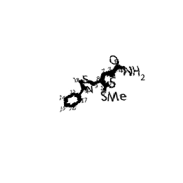 CSc1sc(C(N)=O)cc1-c1nc(-c2ccccc2)cs1